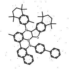 Cc1cc2c3c(c1)N(c1cc4c(cc1C)C(C)(C)CCC4(C)C)C1c4cc5c(cc4SC1B3N(c1ccc(-c3ccccc3)cc1)c1c-2ccc2ccccc12)C(C)(C)CCC5(C)C